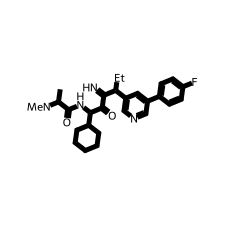 CCC(C(=N)C(=O)C(NC(=O)C(C)NC)C1CCCCC1)c1cncc(-c2ccc(F)cc2)c1